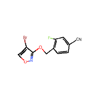 N#Cc1ccc(COc2nocc2Br)c(F)c1